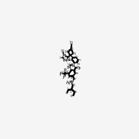 CCC(CC)CNCc1cc(C(F)(F)F)c2ncn(-c3cccc(C4(c5nncn5C)CC(C)C4)c3)c(=O)c2c1